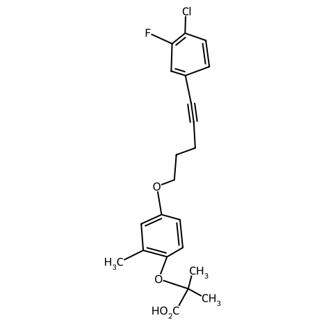 Cc1cc(OCCCC#Cc2ccc(Cl)c(F)c2)ccc1OC(C)(C)C(=O)O